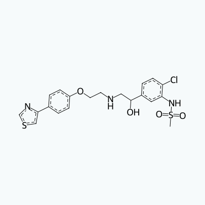 CS(=O)(=O)Nc1cc(C(O)CNCCOc2ccc(-c3cscn3)cc2)ccc1Cl